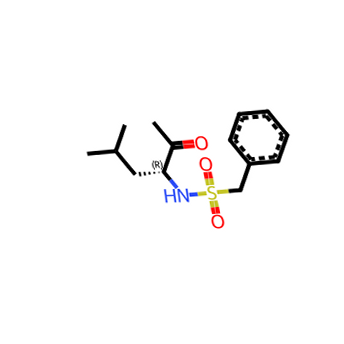 CC(=O)[C@@H](CC(C)C)NS(=O)(=O)Cc1ccccc1